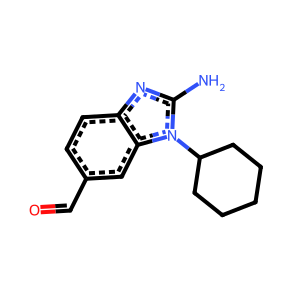 Nc1nc2ccc(C=O)cc2n1C1CCCCC1